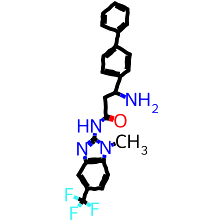 Cn1c(NC(=O)CC(N)c2ccc(-c3ccccc3)cc2)nc2cc(C(F)(F)F)ccc21